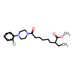 CCC(CCCCCC(=O)N1CCN(c2ccccc2Cl)CC1)C(=O)OC